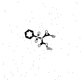 CC(C)(C)OC(=O)N(C1O[C@H]1Br)S(=O)(=O)c1ccccc1